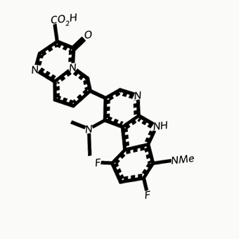 CNc1c(F)cc(F)c2c1[nH]c1ncc(-c3ccc4ncc(C(=O)O)c(=O)n4c3)c(N(C)C)c12